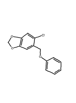 Clc1cc2c(cc1COc1c[c]ccc1)OCO2